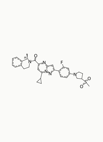 C[C@@H]1c2ccccc2CCN1C(=O)c1cc(C2CC2)n2nc(-c3ccc(N4CCC(S(C)(=O)=O)C4)cc3F)cc2n1